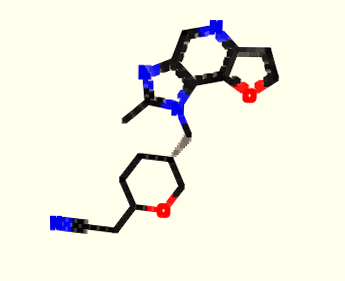 Cc1nc2cnc3ccoc3c2n1C[C@H]1CCC(CC#N)OC1